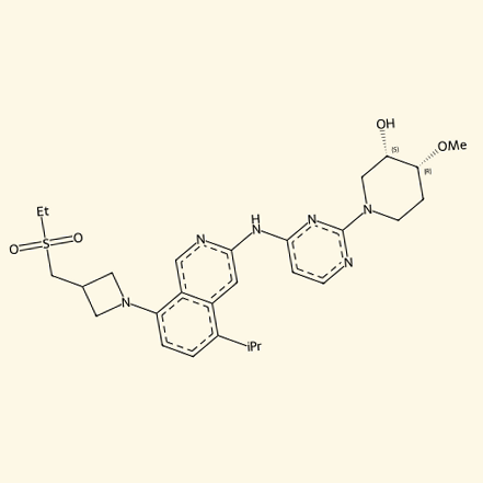 CCS(=O)(=O)CC1CN(c2ccc(C(C)C)c3cc(Nc4ccnc(N5CC[C@@H](OC)[C@@H](O)C5)n4)ncc23)C1